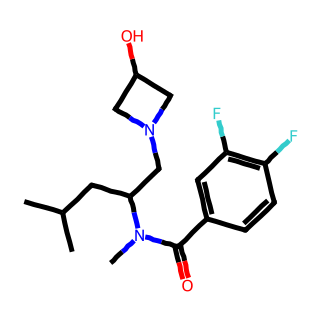 CC(C)CC(CN1CC(O)C1)N(C)C(=O)c1ccc(F)c(F)c1